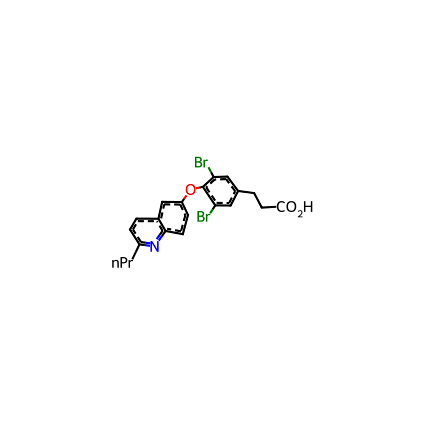 CCCc1ccc2cc(Oc3c(Br)cc(CCC(=O)O)cc3Br)ccc2n1